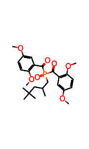 COc1ccc(OC)c(C(=O)P(=O)(CC(C)CC(C)(C)C)C(=O)c2cc(OC)ccc2OC)c1